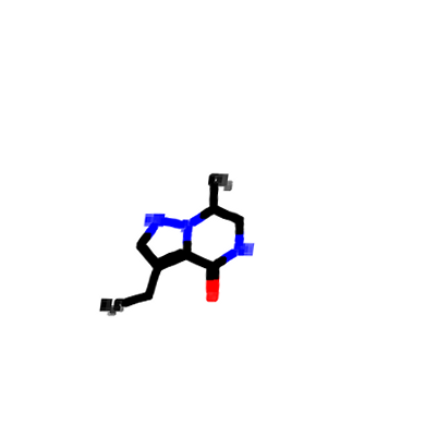 CCC1=C2C(=O)NCC(C)N2NC1